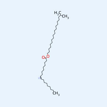 CCCCCCCC/C=C\CCCCCCCC(=O)OCCCCCCCCCCCCCCCCCC(C)C